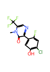 Cn1c(C(F)(F)F)cnc(-c2cc(O)c(Cl)cc2F)c1=O